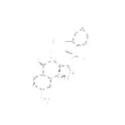 COc1ccc2c(=O)[nH]c3c(S(=O)(=O)c4ccc(C)cc4C(F)(F)F)nnn3c2c1